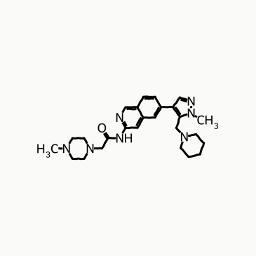 CN1CCN(CC(=O)Nc2cc3cc(-c4cnn(C)c4CN4CCCCC4)ccc3cn2)CC1